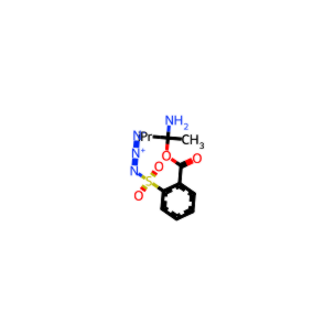 CC(C)C(C)(N)OC(=O)c1ccccc1S(=O)(=O)N=[N+]=[N-]